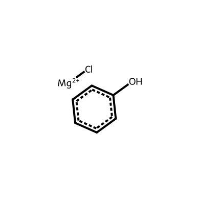 Oc1ccccc1.[Mg+2][Cl]